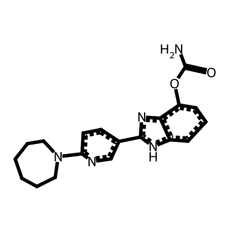 NC(=O)Oc1cccc2[nH]c(-c3ccc(N4CCCCCC4)nc3)nc12